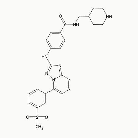 CS(=O)(=O)c1cccc(-c2cccc3nc(Nc4ccc(C(=O)NCC5CCNCC5)cc4)nn23)c1